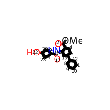 COC(=O)c1ccc(-c2ccccc2)cc1NC(=O)c1ccc(O)cc1